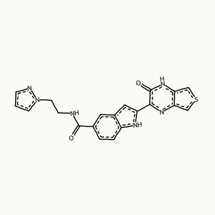 O=C(NCCn1cccn1)c1ccc2[nH]c(-c3nc4cscc4[nH]c3=O)cc2c1